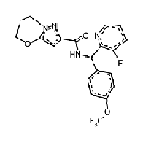 O=C(NC(c1ccc(OC(F)(F)F)cc1)c1ncccc1F)c1cc2n(n1)CCCO2